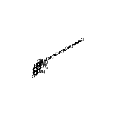 C[C@@H]1CC2[C@@H]3CCC4=CC(=O)C=C[C@]4(C)[C@@]3(F)[C@@H](O)C[C@]2(C)[C@@]1(O)C(=O)NCCOCCOCCOCCOCCOCCOCCCCCCCl